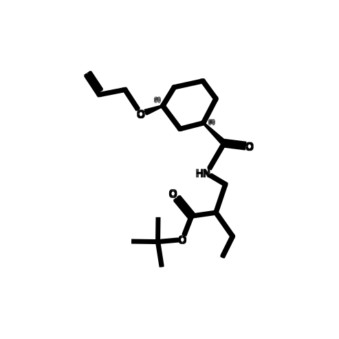 C=CCO[C@H]1CCC[C@@H](C(=O)NCC(CC)C(=O)OC(C)(C)C)C1